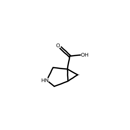 O=C(O)C12[CH]C1CNC2